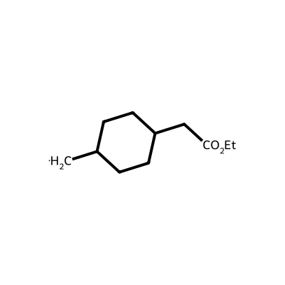 [CH2]C1CCC(CC(=O)OCC)CC1